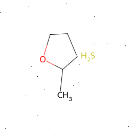 CC1CCCO1.S